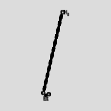 CC#CC#CC#CC#CC#CC#CC#CC#CC#CC#CC#CC#COC(=O)CC